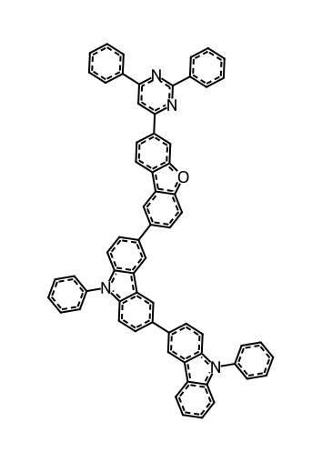 c1ccc(-c2cc(-c3ccc4c(c3)oc3ccc(-c5ccc6c(c5)c5cc(-c7ccc8c(c7)c7ccccc7n8-c7ccccc7)ccc5n6-c5ccccc5)cc34)nc(-c3ccccc3)n2)cc1